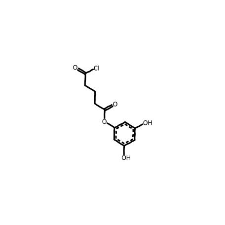 O=C(Cl)CCCC(=O)Oc1cc(O)cc(O)c1